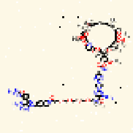 CO[C@H]1C[C@@H]2CC[C@@H](C)[C@@](O)(O2)C(=O)C(=O)N2CCCC[C@H]2C(=O)O[C@H]([C@H](C)C[C@@H]2CC[C@@H](OC(=O)NCc3cnc(N4CCN(c5ncc(C(=O)N(C)CCOCCOCCOCCOCCC(=O)N6CCc7cc(Cn8nc(-c9ccc%10oc(N)nc%10c9)c9c(N)ncnc98)ccc7C6)c(N)n5)CC4)nc3)[C@H](OC)C2)C[C@@H](OC)[C@H](C)/C=C(\C)[C@@H](O)[C@@H](OC)C(=O)[C@H](C)C[C@H](C)/C=C/C=C/C=C/1C